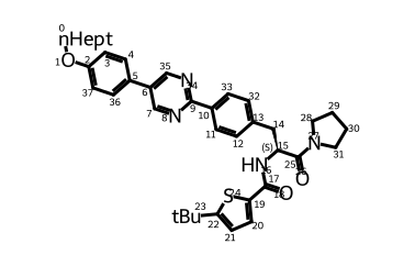 CCCCCCCOc1ccc(-c2cnc(-c3ccc(C[C@H](NC(=O)c4ccc(C(C)(C)C)s4)C(=O)N4CCCC4)cc3)nc2)cc1